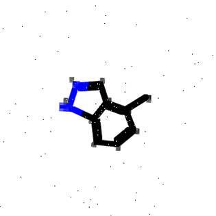 [CH2]c1cccc2[nH]ncc12